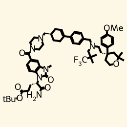 COc1ccc([C@]2(CCN(Cc3ccc(C4=CC[C@H](CN5CCN(C(=O)c6ccc7c(c6)n(C)c(=O)n7[C@@H](CCC(=O)OC(C)(C)C)C(N)=O)CC5)CC4)cc3)CC(C)(C)C(F)(F)F)CCOC(C)(C)C2)cc1